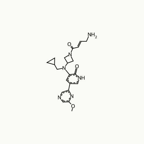 COc1cncc(-c2c[nH]c(=O)c(N(CC3CC3)C3CN(C(=O)C=CCN)C3)c2)n1